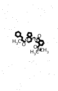 CC(CC1CCCCC1)C(=O)N1CC[C@H](CN2Cc3c(C(=O)N(C)C)cccc3C2=O)C2(CCCC2)C1